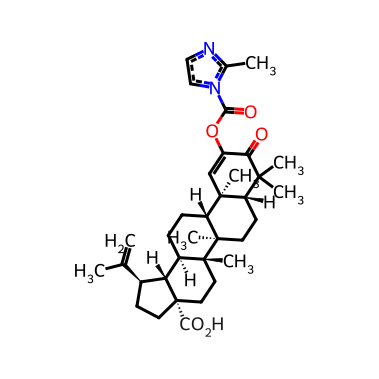 C=C(C)[C@@H]1CC[C@]2(C(=O)O)CC[C@]3(C)[C@H](CC[C@@H]4[C@@]5(C)C=C(OC(=O)n6ccnc6C)C(=O)C(C)(C)[C@@H]5CC[C@]43C)[C@@H]12